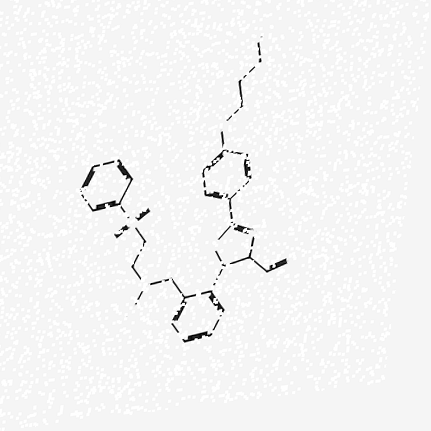 CN(CCS(=O)(=O)c1ccccc1)Cc1ccccc1C1OC(c2ccc(OCCCO)cc2)=NC1C=O